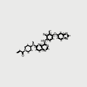 C=CC(=O)N1CCC(N(C)c2ccc3ncnc(Nc4ccc(Oc5ccn6ncnc6c5)c(C)c4F)c3n2)CC1